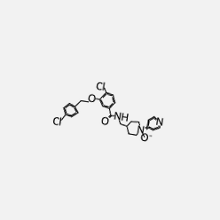 O=C(NCC1CC[N+]([O-])(c2ccncc2)CC1)c1ccc(Cl)c(OCCc2ccc(Cl)cc2)c1